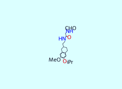 COc1cc2c(cc1OC(C)C)CCC(CCNC(=O)CNC=O)C2